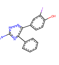 Nc1nnc(-c2ccc(O)c(I)c2)c(-c2ccccc2)n1